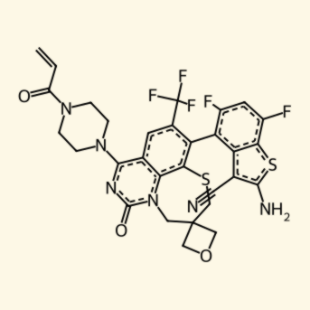 C=CC(=O)N1CCN(c2nc(=O)n3c4c(c(-c5c(F)cc(F)c6sc(N)c(C#N)c56)c(C(F)(F)F)cc24)SCC2(COC2)C3)CC1